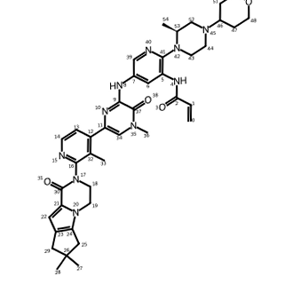 C=CC(=O)Nc1cc(Nc2nc(-c3ccnc(N4CCn5c(cc6c5CC(C)(C)C6)C4=O)c3C)cn(C)c2=O)cnc1N1CCN(C2CCOCC2)C[C@@H]1C